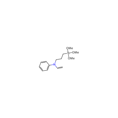 C=CN(CC[CH2][Ti]([O]C)([O]C)[O]C)c1ccccc1